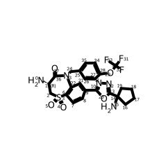 N[C@H]1CS(=O)(=O)c2ccc(-c3nnc(C4(N)CCCC4)o3)cc2N(Cc2ccc(OC(F)(F)F)cc2)C1=O